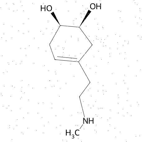 CNCCC1=CC[C@@H](O)[C@@H](O)C1